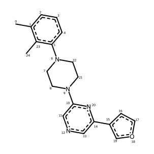 Cc1cccc(N2CCN(c3cncc(-c4ccoc4)n3)CC2)c1C